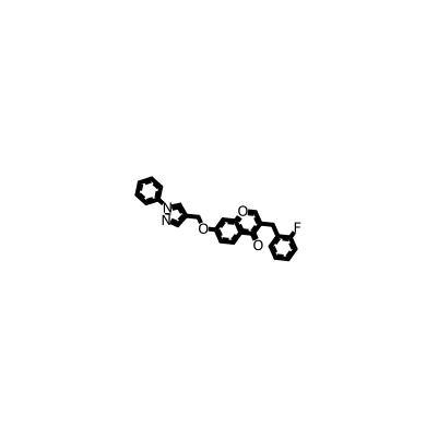 O=c1c(Cc2ccccc2F)coc2cc(OCc3cnn(-c4ccccc4)c3)ccc12